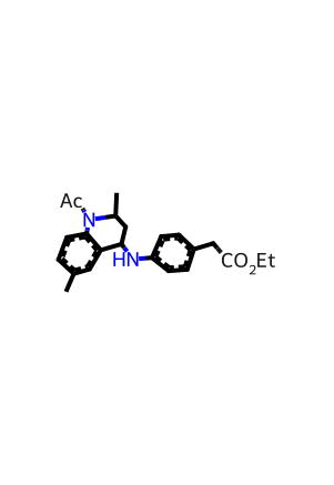 CCOC(=O)Cc1ccc(NC2CC(C)N(C(C)=O)c3ccc(C)cc32)cc1